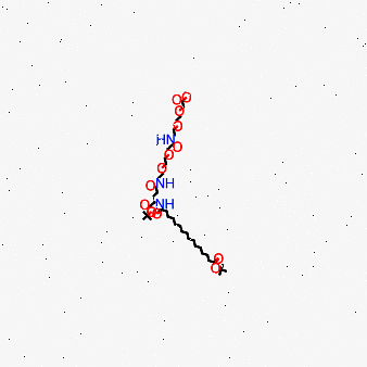 COC(=O)COCCOCCNC(=O)COCCOCCNC(=O)CC[C@H](NC(=O)CCCCCCCCCCCCCCC(=O)OC(C)(C)C)C(=O)OC(C)(C)C